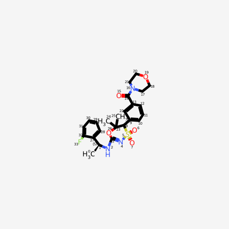 C[C@H](NC1=NS(=O)(=O)C(c2cccc(C(=O)N3CCOCC3)c2)C(C)(C)O1)c1ccccc1F